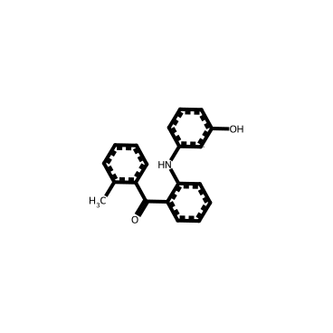 Cc1ccccc1C(=O)c1ccccc1Nc1[c]c(O)ccc1